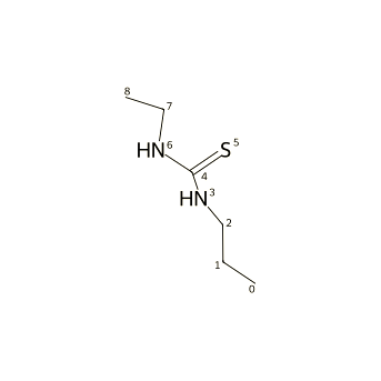 CCCNC(=S)NCC